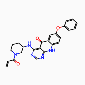 C=CC(=O)N1CCCC(Nc2ncnc3[nH]c4ccc(Oc5ccccc5)cc4c(=O)c23)C1